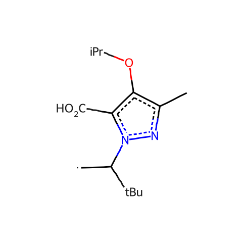 [CH2]C(n1nc(C)c(OC(C)C)c1C(=O)O)C(C)(C)C